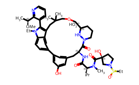 CCn1c(-c2cccnc2[C@H](C)OC)c2c3cc(ccc31)-c1cc(O)cc(c1)C[C@H](NC(=O)[C@H](C(C)C)N(C)C(=O)[C@]1(O)CCN([S+]([O-])CC)C1)C(=O)N1CCC[C@@](C(=O)O)(COCC(C)(C)C2)N1